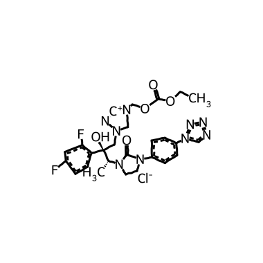 CCOC(=O)OCN1[C+]=NN(C[C@@](O)(c2ccc(F)cc2F)[C@@H](C)N2CCN(c3ccc(-n4cnnn4)cc3)C2=O)C1.[Cl-]